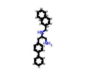 NCC(Cc1ccc(-c2ccccc2)cc1)NCc1ccc2ccccc2c1